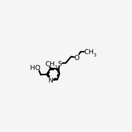 CCOCCSc1ccnc(CO)c1C